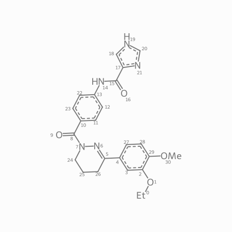 CCOc1cc(C2=NN(C(=O)c3ccc(NC(=O)c4c[nH]cn4)cc3)CCC2)ccc1OC